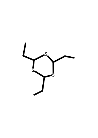 CCC1SC(CC)SC(CC)S1